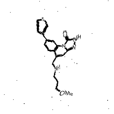 COCCCNCc1cc2n[nH]c(=O)n2c2cc(-c3ccsc3)ccc12